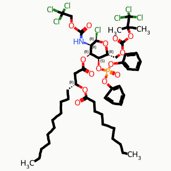 CCCCCCCCCCC[C@H](CC(=O)O[C@@H]1[C@@H](NC(=O)OCC(Cl)(Cl)Cl)[C@@H](Cl)O[C@H](COC(=O)OC(C)(C)C(Cl)(Cl)Cl)[C@H]1OP(=O)(Oc1ccccc1)Oc1ccccc1)OC(=O)CCCCCCCCC